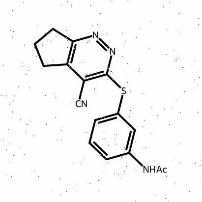 CC(=O)Nc1cccc(Sc2nnc3c(c2C#N)CCC3)c1